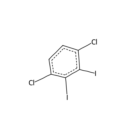 Clc1ccc(Cl)c(I)c1I